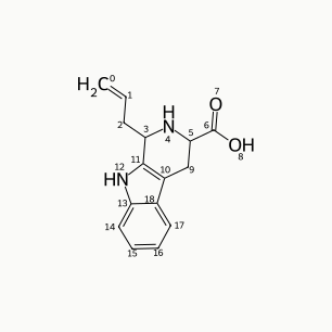 C=CCC1NC(C(=O)O)Cc2c1[nH]c1ccccc21